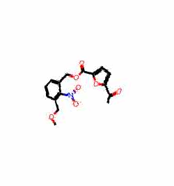 COCc1cccc(COC(=O)c2ccc(C(C)=O)o2)c1[N+](=O)[O-]